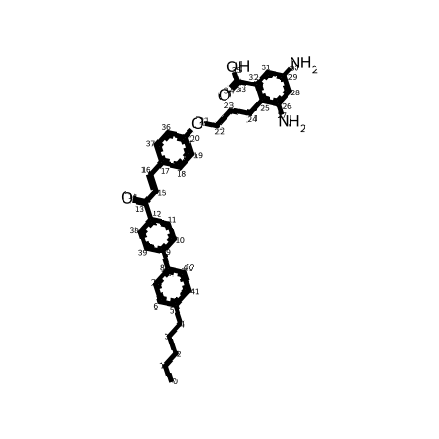 CCCCCc1ccc(-c2ccc(C(=O)/C=C/c3ccc(OCCCc4c(N)cc(N)cc4C(=O)O)cc3)cc2)cc1